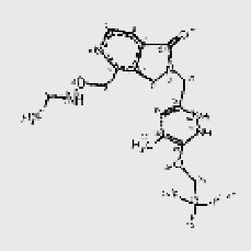 CCNOCc1nccc2c1CN(CC1=CC(C)=C(OCC(F)(F)F)NN1)C2=O